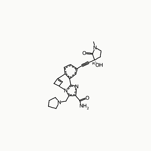 CN1CC[C@@](O)(C#Cc2ccc3c(c2)-c2nc(C(N)=O)c(CN4CCCC4)n2C2C=C3C2)C1=O